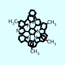 Cc1ccc2c(c1)c1ccccc1n2-c1c(-c2ccncc2)c(-n2c3ccccc3c3cc(C)ccc32)c(-n2c3ccccc3c3cc(C)ccc32)c(-n2c3ccccc3c3cc(C)ccc32)c1-c1cccc(-c2ccccc2)n1